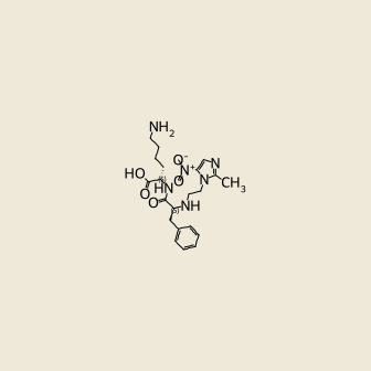 Cc1ncc([N+](=O)[O-])n1CCN[C@@H](Cc1ccccc1)C(=O)N[C@@H](CCCCN)C(=O)O